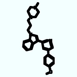 COc1ccc(-c2cncc(-c3cn(CCCN4CCN(C)CC4)c4ccccc34)c2)cc1